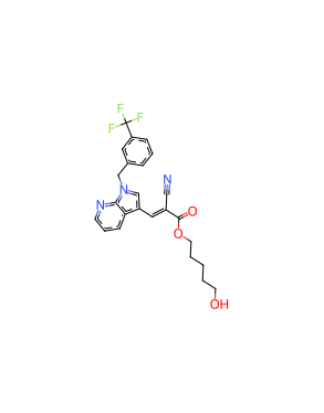 N#C/C(=C\c1cn(Cc2cccc(C(F)(F)F)c2)c2ncccc12)C(=O)OCCCCCO